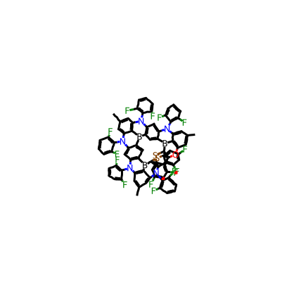 Cc1cc2c3c(c1)N(c1c(F)cccc1F)c1cc4c(cc1B3c1sc3cc(F)cc(F)c3c1O2)B1c2cc3c(cc2N(c2c(F)cccc2F)c2cc(C)cc(c21)N4c1c(F)cccc1F)N(c1c(F)cccc1F)c1cc(C)cc2c1B3c1sc3cc(F)cc(F)c3c1N2c1c(F)cccc1F